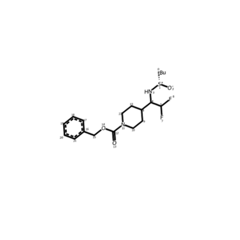 CC(C)(C)[S@+]([O-])NC(C(F)F)C1CCN(C(=O)OCc2ccccc2)CC1